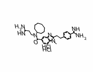 Cl.Cl.Cn1c(CCc2ccc(C(=N)N)cc2)nc2cc(C(=O)N(CCC(=N)N)C3CCCCCCC3)ccc21